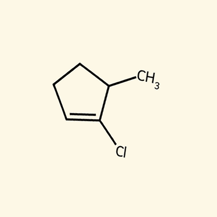 CC1CCC=C1Cl